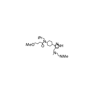 CNCCN(C)Cc1c[nH]nc1C1CCC(N(CC(C)C)C(=O)CCCOC)CC1